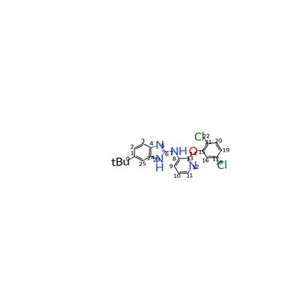 CC(C)(C)c1ccc2nc(Nc3cccnc3Oc3cc(Cl)ccc3Cl)[nH]c2c1